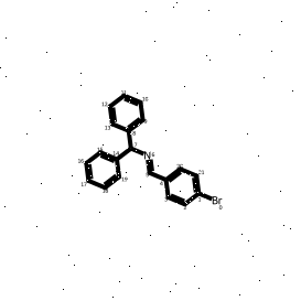 Brc1ccc(C=NC(c2ccccc2)c2ccccc2)cc1